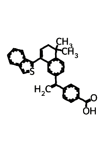 C=C(c1ccc(C(=O)O)cc1)c1ccc2c(c1)C(c1scc3ccccc13)=CCC2(C)C